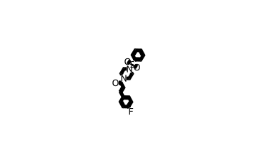 O=C(C=Cc1ccc(F)cc1)N1CCN(S(=O)(=O)c2ccccc2)CC1